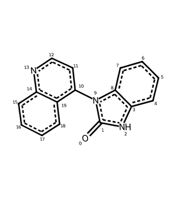 O=c1[nH]c2ccccc2n1-c1ccnc2ccccc12